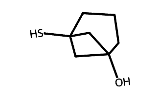 OC12CCCC(S)(C1)C2